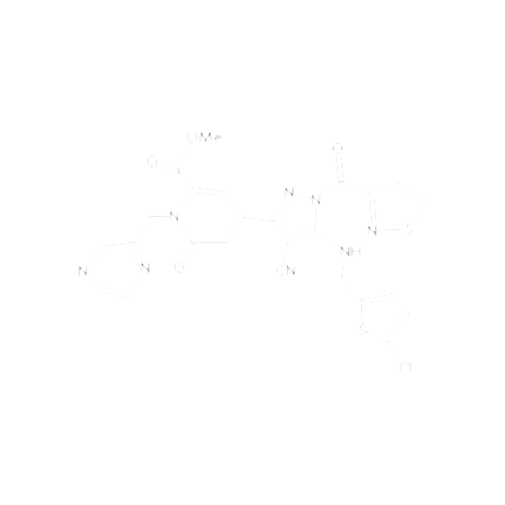 COC(=O)c1cc(-c2nn(C(=O)c3ccsn3)c(NCc3ccc(Cl)s3)c2C#N)cc(=O)n1Cc1cnccn1